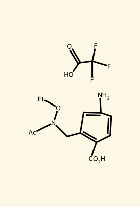 CCON(Cc1cc(N)ccc1C(=O)O)C(C)=O.O=C(O)C(F)(F)F